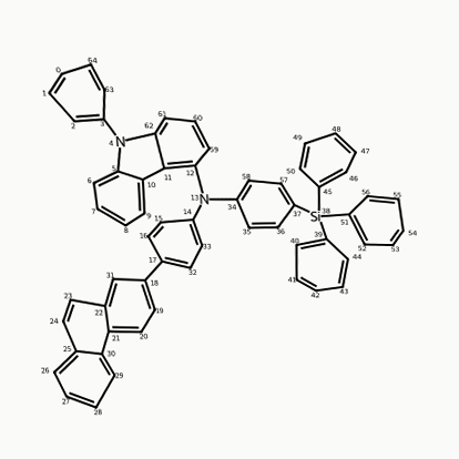 c1ccc(-n2c3ccccc3c3c(N(c4ccc(-c5ccc6c(ccc7ccccc76)c5)cc4)c4ccc([Si](c5ccccc5)(c5ccccc5)c5ccccc5)cc4)cccc32)cc1